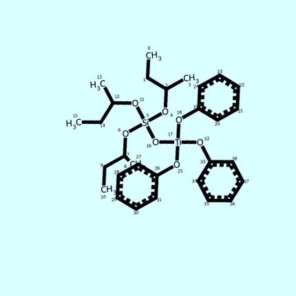 CCC(C)O[Si](OC(C)CC)(OC(C)CC)[O][Ti]([O]c1ccccc1)([O]c1ccccc1)[O]c1ccccc1